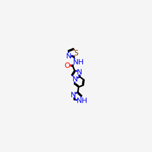 O=C(Nc1nccs1)c1cn2cc(-c3c[nH]cn3)ccc2n1